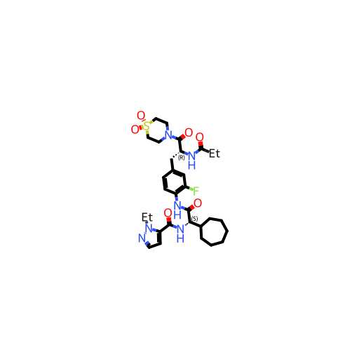 CCC(=O)N[C@H](Cc1ccc(NC(=O)[C@@H](NC(=O)c2ccnn2CC)C2CCCCCC2)c(F)c1)C(=O)N1CCS(=O)(=O)CC1